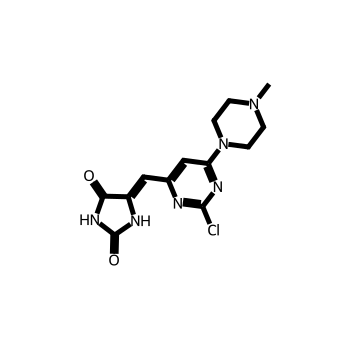 CN1CCN(c2cc(/C=C3\NC(=O)NC3=O)nc(Cl)n2)CC1